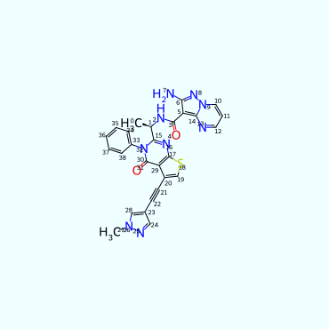 C[C@@H](NC(=O)c1c(N)nn2cccnc12)c1nc2scc(C#Cc3cnn(C)c3)c2c(=O)n1-c1ccccc1